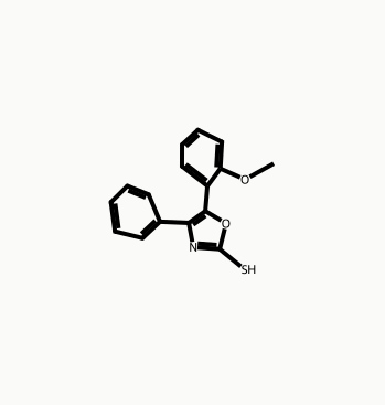 COc1ccccc1-c1oc(S)nc1-c1ccccc1